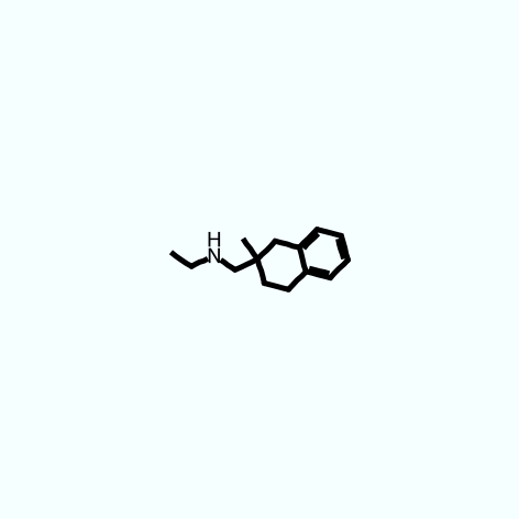 CCNCC1(C)CCc2ccccc2C1